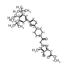 COC(=O)Cc1nn(CC(=O)N2CCC(c3nc(-c4cc(C(C)(C)C)c(OC)c(C(C)(C)C)c4)cs3)CC2)c(C)c1Br